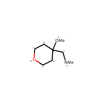 CNCC1(OC)CCOCC1